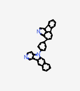 c1ccc2c(c1)-c1ccc(-c3ccc(-n4c5ccncc5c5cc6ccccc6cc54)cc3)c3cncc-2c13